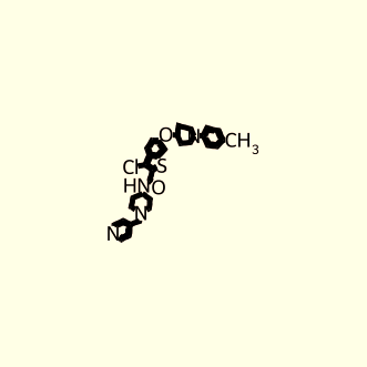 Cc1ccc(N2CCC(Oc3ccc4c(Cl)c(C(=O)NC5CCN(Cc6ccncc6)CC5)sc4c3)CC2)cc1